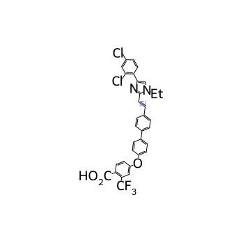 CCn1cc(-c2ccc(Cl)cc2Cl)nc1/C=C/c1ccc(-c2ccc(Oc3ccc(C(=O)O)c(C(F)(F)F)c3)cc2)cc1